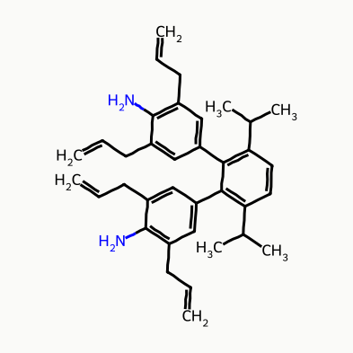 C=CCc1cc(-c2c(C(C)C)ccc(C(C)C)c2-c2cc(CC=C)c(N)c(CC=C)c2)cc(CC=C)c1N